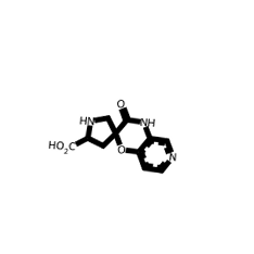 O=C(O)C1CC2(CN1)Oc1ccncc1NC2=O